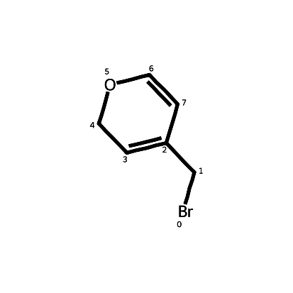 BrCC1=CCOC=C1